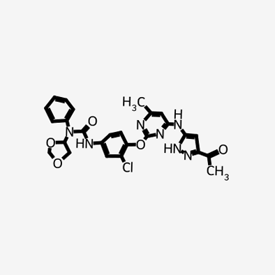 CC(=O)c1cc(Nc2cc(C)nc(Oc3ccc(NC(=O)N(c4ccccc4)C4COCO4)cc3Cl)n2)[nH]n1